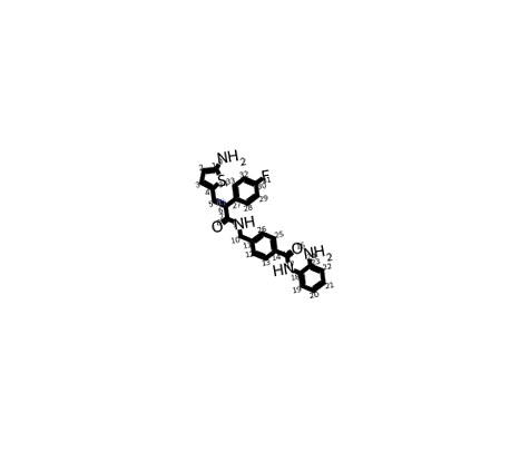 Nc1ccc(/C=C(/C(=O)NCc2ccc(C(=O)Nc3ccccc3N)cc2)c2ccc(F)cc2)s1